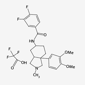 COc1ccc(C23CCC(NC(=O)c4ccc(F)c(F)c4)CC2CN(C)C3)cc1OC.O=C(O)C(F)(F)F